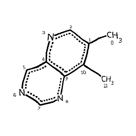 Cc1cnc2cncnc2c1C